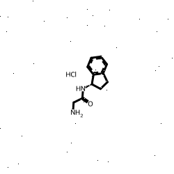 Cl.NCC(=O)N[C@@H]1CCc2ccccc21